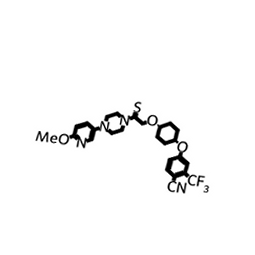 COc1ccc(N2CCN(C(=S)CO[C@H]3CC[C@H](Oc4ccc(C#N)c(C(F)(F)F)c4)CC3)CC2)cn1